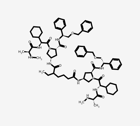 CCC(CCCC(=O)N[C@H]1C[C@@H](C(=O)N[C@H](COCc2ccccc2)c2ccccc2)N(C(=O)[C@@H](NC(=O)[C@H](C)NC)C2CCCCC2)C1)C(=O)N[C@H]1C[C@@H](C(=O)N[C@H](COCc2ccccc2)c2ccccc2)N(C(=O)[C@@H](NC(=O)[C@H](C)NC)C2CCCCC2)C1